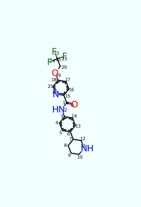 O=C(Nc1ccc(C2CCCNC2)cc1)c1ccc(OCC(F)(F)F)cn1